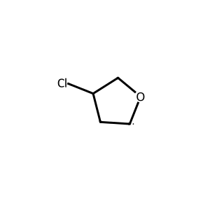 ClC1C[CH]OC1